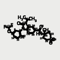 CC(C)n1c(=O)n(-c2cc(OC(F)F)ccc2F)c2ncc(C(=O)NC3(C)CCS(=O)(=O)CC3)cc21